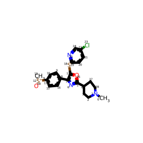 CN1CCC(c2nc(-c3ccc([S+](C)[O-])cc3)c(Sc3ccc(Cl)cn3)o2)CC1